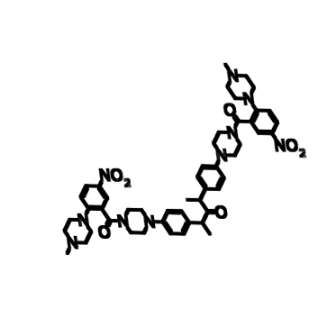 CC(C(=O)C(C)c1ccc(N2CCN(C(=O)c3cc([N+](=O)[O-])ccc3N3CCN(C)CC3)CC2)cc1)c1ccc(N2CCN(C(=O)c3cc([N+](=O)[O-])ccc3N3CCN(C)CC3)CC2)cc1